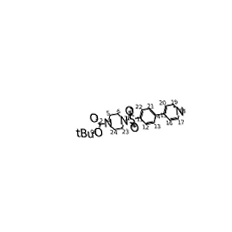 CC(C)(C)OC(=O)N1CCN(S(=O)(=O)c2ccc(-c3ccncc3)cc2)CC1